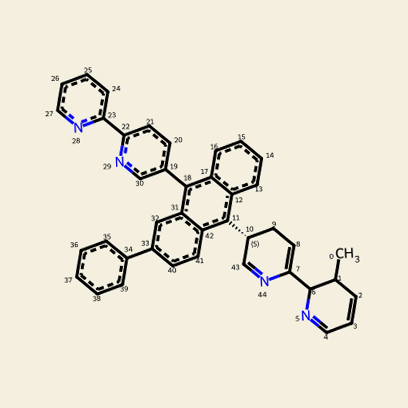 CC1C=CC=NC1C1=CC[C@@H](c2c3ccccc3c(-c3ccc(-c4ccccn4)nc3)c3cc(-c4ccccc4)ccc23)C=N1